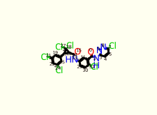 O=C(Nc1ccc(Cl)nn1)c1cc(NC(=O)C2C(c3cc(Cl)cc(Cl)c3)C2(Cl)Cl)ccc1Cl